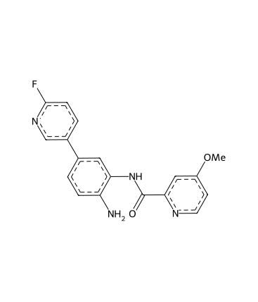 COc1ccnc(C(=O)Nc2cc(-c3ccc(F)nc3)ccc2N)c1